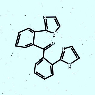 O=C(c1ccccc1-c1ncc[nH]1)c1ccccc1-c1ncc[nH]1